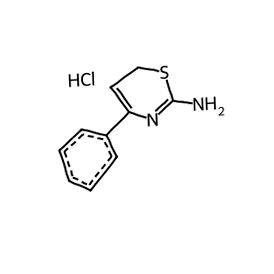 Cl.NC1=NC(c2ccccc2)=CCS1